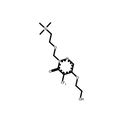 C[Si](C)(C)CCOCn1ncc(OCCO)c(C(F)(F)F)c1=O